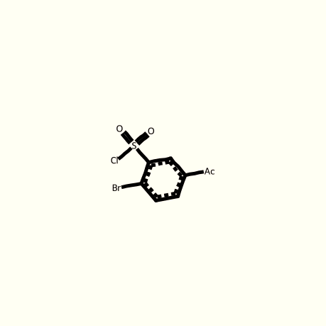 CC(=O)c1ccc(Br)c(S(=O)(=O)Cl)c1